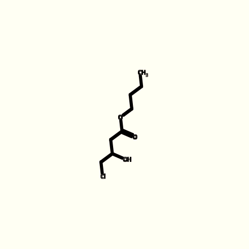 CCCCOC(=O)CC(O)CCl